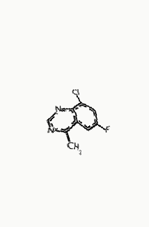 Cc1ncnc2c(Cl)cc(F)cc12